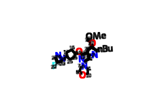 CCCCc1nc2cc(N3CCOCC3)nc(OC3CCC(n4cc(F)cn4)CC3)c2cc1OCOC